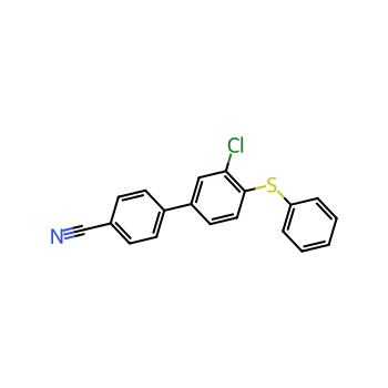 N#Cc1ccc(-c2ccc(Sc3ccccc3)c(Cl)c2)cc1